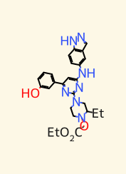 CCOC(=O)ON1CCN(c2nc(Nc3ccc4[nH]ncc4c3)cc(-c3cccc(O)c3)n2)CC1CC